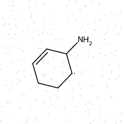 NC1[CH]CCC=C1